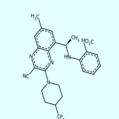 Cc1cc([C@@H](C)Nc2ccccc2C(=O)O)c2nc(N3CCC(C(F)(F)F)CC3)c(C#N)nc2c1